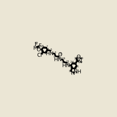 O=C(CCNCc1ccc(OC(F)(F)F)c(Cl)c1)NCCCNc1cc(-c2cocn2)cc2[nH]ncc12